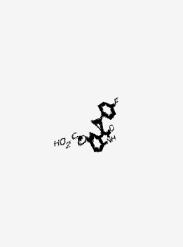 O=C(O)Oc1ccc2c(c1)[C@@]1(C[C@H]1c1ccc(F)cc1)C(=O)N2